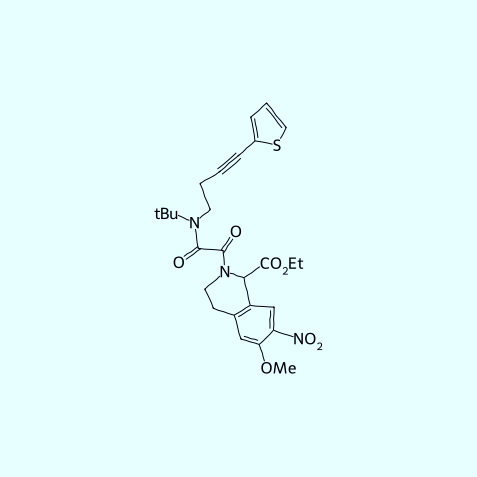 CCOC(=O)C1c2cc([N+](=O)[O-])c(OC)cc2CCN1C(=O)C(=O)N(CCC#Cc1cccs1)C(C)(C)C